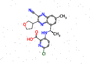 Cc1cc([C@@H](C)Nc2ccc(Cl)nc2C(=O)O)c2nc(C3CCOC3)c(C#N)nc2c1